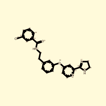 O=C(NCCc1cccc(Oc2ccnc(C3=NCCN3)c2)c1)c1cccc(Cl)c1